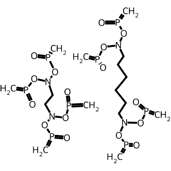 C=P(=O)ON(CCCCCCN(OP(=C)=O)OP(=C)=O)OP(=C)=O.C=P(=O)ON(CCN(OP(=C)=O)OP(=C)=O)OP(=C)=O